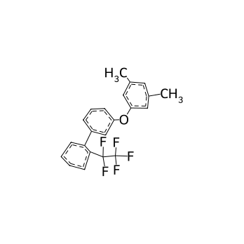 Cc1cc(C)cc(Oc2cccc(-c3ccccc3C(F)(F)C(F)(F)F)c2)c1